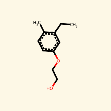 CCc1cc(OCCO)ccc1C